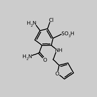 NC(=O)c1cc(N)c(Cl)c(S(=O)(=O)O)c1NCc1ccco1